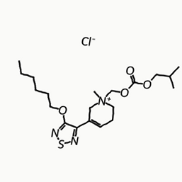 CCCCCCOc1nsnc1C1=CCC[N+](C)(COC(=O)OCC(C)C)C1.[Cl-]